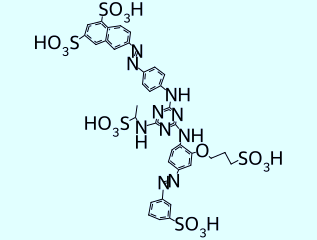 CC(Nc1nc(Nc2ccc(N=Nc3ccc4c(S(=O)(=O)O)cc(S(=O)(=O)O)cc4c3)cc2)nc(Nc2ccc(N=Nc3cccc(S(=O)(=O)O)c3)cc2OCCCS(=O)(=O)O)n1)S(=O)(=O)O